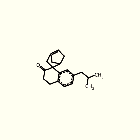 CC(C)Cc1ccc2c(c1)C1(CC3=CCC1C3)C(=O)CC2